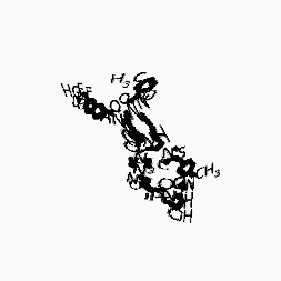 Cc1ccc2onc(C(=O)N3CC[C@H]4CC[C@@H](C(=O)N5CCN(c6cc(C(C(=O)N7C[C@H](O)C[C@H]7C(=O)N[C@H](C)c7ccc(-c8scnc8C)cc7)C(C)C)on6)CC5)N4C(=O)[C@@H](NC(=O)c4ccc5ccc(C(F)(F)P(=O)(O)O)cc5c4)C3)c2c1